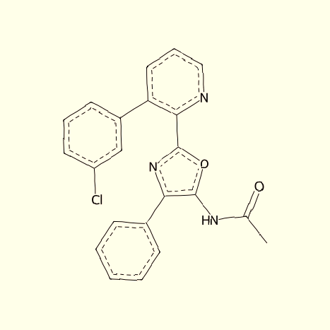 CC(=O)Nc1oc(-c2ncccc2-c2cccc(Cl)c2)nc1-c1ccccc1